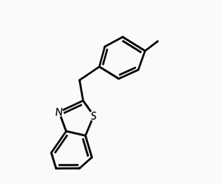 Cc1ccc(Cc2nc3ccccc3s2)cc1